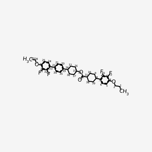 CCCOc1ccc(C2CCC(C(=O)OC3CCC(c4ccc(-c5ccc(OCC)c(F)c5F)cc4)CC3)CC2)c(F)c1F